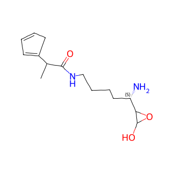 CC(C(=O)NCCCC[C@H](N)C1OC1O)C1=CC=CC1